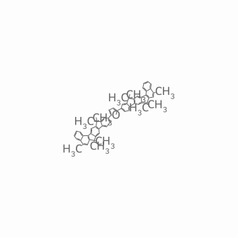 Cc1cc2c(c3ccccc13)-c1cc3c(cc1C2(C)C)-c1ccc(-c2ccc(-c4ccc5c(c4)C(C)(C)c4cc6c(cc4-5)C(C)(C)c4cc(C)c5ccccc5c4-6)o2)cc1C3(C)C